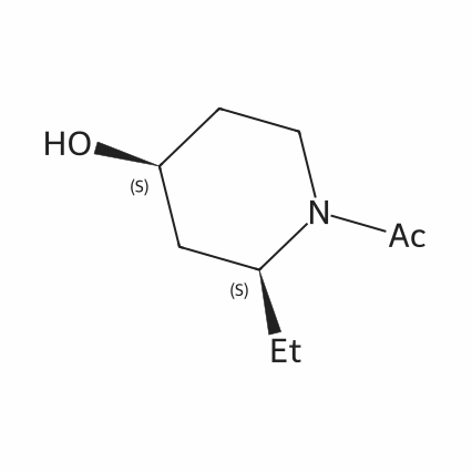 CC[C@H]1C[C@@H](O)CCN1C(C)=O